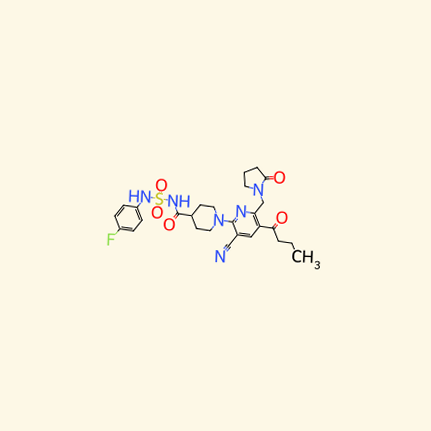 CCCC(=O)c1cc(C#N)c(N2CCC(C(=O)NS(=O)(=O)Nc3ccc(F)cc3)CC2)nc1CN1CCCC1=O